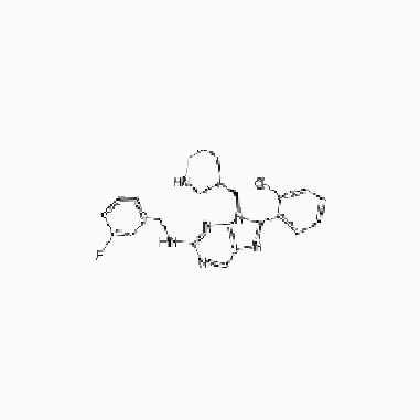 Fc1cccc(CNc2ncc3nc(-c4ccccc4Cl)n(C[C@@H]4CCCNC4)c3n2)c1